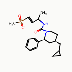 CC(/C=C/S(C)(=O)=O)NC(=O)N1CC[C@@H](CC2CC2)C[C@H]1c1ccccc1